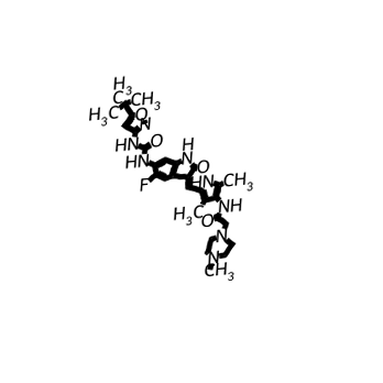 Cc1[nH]c(/C=C2\C(=O)Nc3cc(NC(=O)Nc4cc(C(C)(C)C)on4)c(F)cc32)c(C)c1NC(=O)CN1CCN(C)CC1